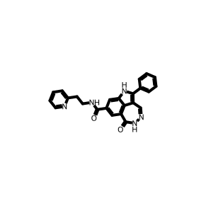 O=C(NCCc1ccccn1)c1cc2c3c(c(-c4ccccc4)[nH]c3c1)C=NNC2=O